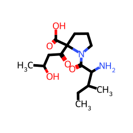 CCC(C)C(N)C(=O)N1CCCC1(C(=O)O)C(=O)CC(C)O